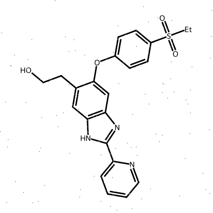 CCS(=O)(=O)c1ccc(Oc2cc3nc(-c4ccccn4)[nH]c3cc2CCO)cc1